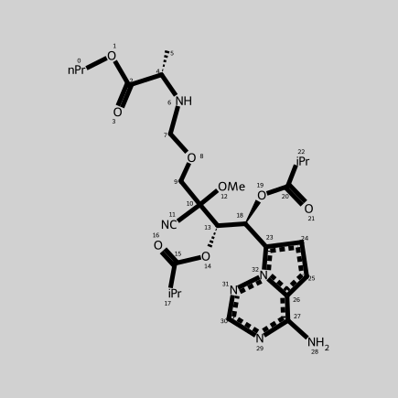 CCCOC(=O)[C@H](C)NCOCC(C#N)(OC)[C@@H](OC(=O)C(C)C)[C@@H](OC(=O)C(C)C)c1ccc2c(N)ncnn12